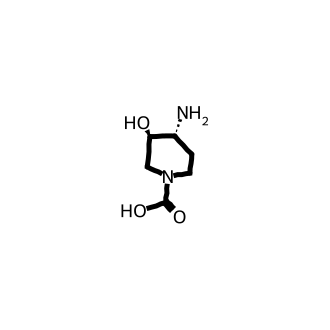 N[C@@H]1CCN(C(=O)O)C[C@H]1O